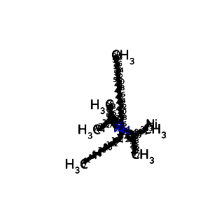 CCCCCCCCCCCCCCCC#CC(=N\c1ccc(CCCCC)c(CCCCC)c1)/C(/C=C/CCCCCCCCCCCCCCCCCCCCCC)=N/c1ccc(CCCCC)c(CCCCC)c1.[Ni]